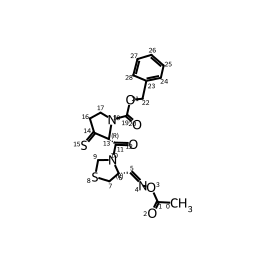 CC(=O)ON=C[C@@H]1CSCN1C(=O)[C@@H]1C(=S)CCN1C(=O)OCc1ccccc1